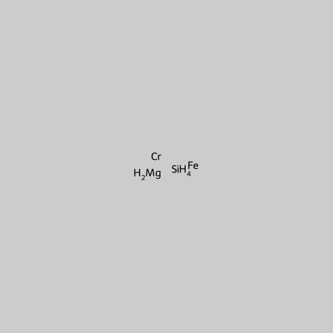 [Cr].[Fe].[MgH2].[SiH4]